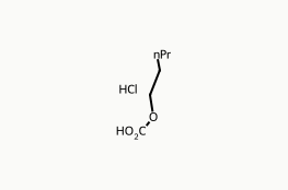 CCCCCOC(=O)O.Cl